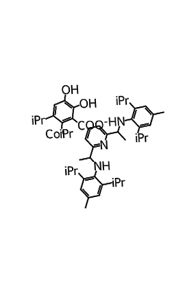 CC(C)c1cc(O)c(O)c(C(=O)[O-])c1C(C)C.Cc1cc(C(C)C)c(NC(C)c2cccc(C(C)Nc3c(C(C)C)cc(C)cc3C(C)C)n2)c(C(C)C)c1.[Co+]